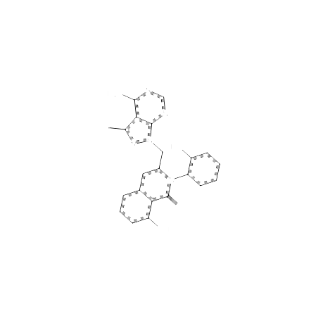 Cc1ccccc1-n1c(Cn2nc(Cl)c3c(C)ncnc32)cc2cccc(C)c2c1=O